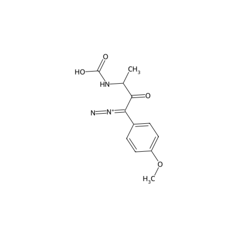 COc1ccc(C(=[N+]=[N-])C(=O)C(C)NC(=O)O)cc1